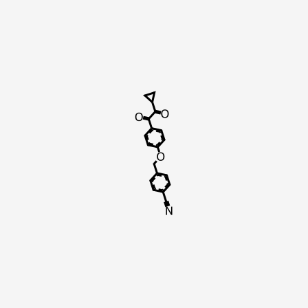 N#Cc1ccc(COc2ccc(C(=O)C(=O)C3CC3)cc2)cc1